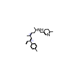 C=C/C(=C\C(C)=C/CC(C)NCC1=CN=C(C)CC1)c1ccc(C)cc1